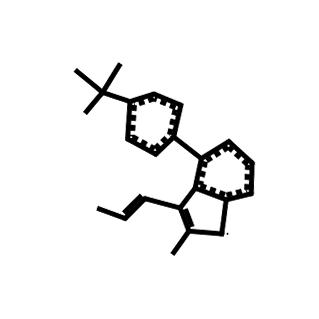 CC=CC1=C(C)[CH]c2cccc(-c3ccc(C(C)(C)C)cc3)c21